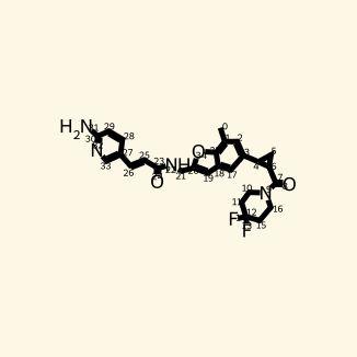 Cc1cc(C2CC2C(=O)N2CCC(F)(F)CC2)cc2cc(CNC(=O)/C=C/c3ccc(N)nc3)oc12